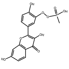 CP(=O)(O)OOc1cc(-c2oc3cc(O)ccc3c(=O)c2O)ccc1O